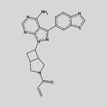 C=CC(=O)N1CC2CC(n3nc(-c4ccc5ncsc5c4)c4c(N)ncnc43)C2C1